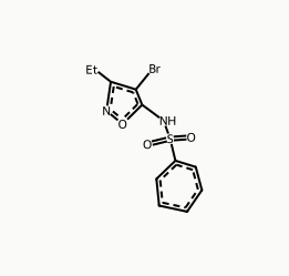 CCc1noc(NS(=O)(=O)c2ccccc2)c1Br